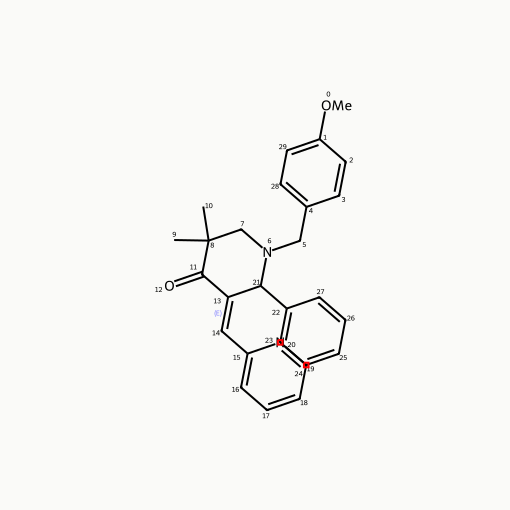 COc1ccc(CN2CC(C)(C)C(=O)/C(=C/c3ccccn3)C2c2ccccc2)cc1